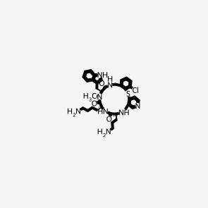 CN1C(=O)[C@H](CCCCN)NC(=O)[C@H](CCCN)NCc2cnccc2Sc2c(Cl)cccc2CNC(=O)[C@@H]1Cc1c[nH]c2ccccc12